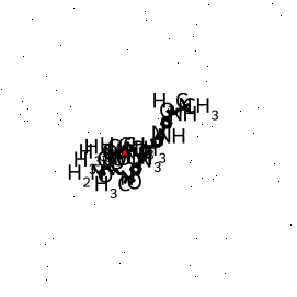 C[C@@H](C(=O)N(C)[C@@H](C)C(=O)N(C)[C@@H](C)C(=O)N(CCCCN(C)C(=O)c1ccc(-c2nc3cc(-c4ccc5[nH]c(-c6ccc(C(=O)NCCN(C)C)cc6)nc5c4)ccc3[nH]2)cc1)CC(N)=O)N(C)C